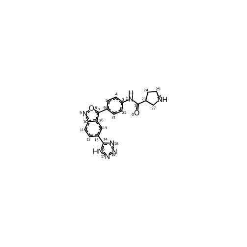 O=C(Nc1ccc(-c2onc3ccc(-c4nnn[nH]4)cc23)cc1)C1CCNC1